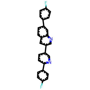 Fc1ccc(-c2ccc3cc(-c4ccc(-c5ccc(F)cc5)nc4)cnc3c2)cc1